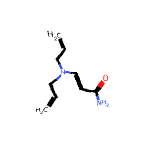 C=CCN(C=CC(N)=O)CC=C